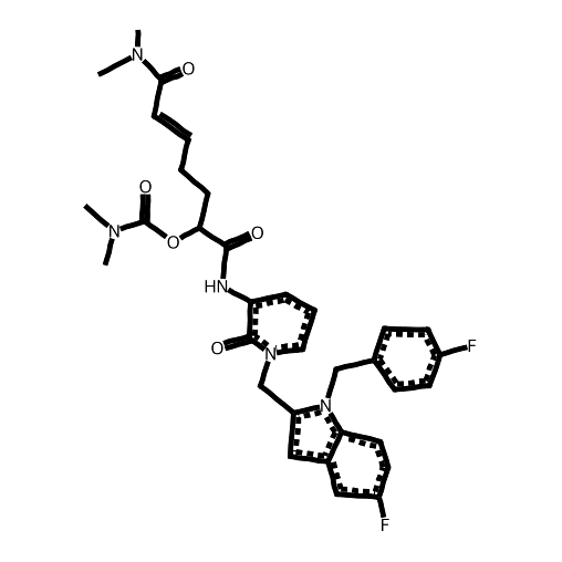 CN(C)C(=O)/C=C/CCC(OC(=O)N(C)C)C(=O)Nc1cccn(Cc2cc3cc(F)ccc3n2Cc2ccc(F)cc2)c1=O